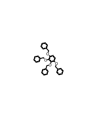 [c]1cc(OCc2ccccc2)c(OCc2ccccc2)c(OCc2ccccc2)c1OCc1ccccc1